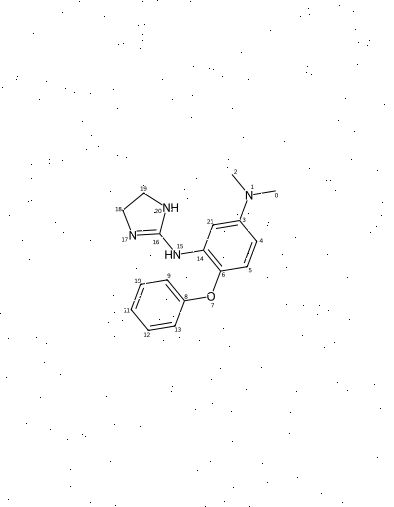 CN(C)c1ccc(Oc2ccccc2)c(NC2=NCCN2)c1